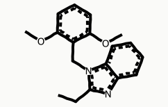 CCc1nc2ccccc2n1Cc1c(OC)cccc1OC